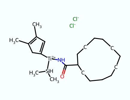 CC1=C(C)C[C]([Ti+2]([NH]C(=O)C2CCCCCCCCCCC2)[SiH](C)C)=C1.[Cl-].[Cl-]